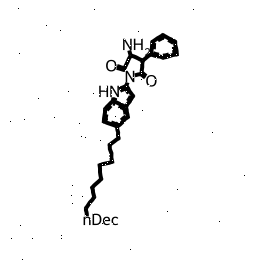 CCCCCCCCCCCCCCCCCCc1ccc2[nH]c(N3C(=O)C(N)C(c4ccccc4)C3=O)cc2c1